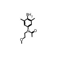 Bc1c(C)cc(N(CCOC)C(C)=O)cc1C